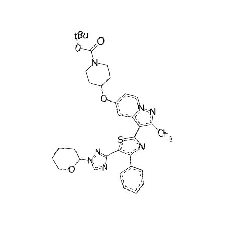 Cc1nn2ccc(OC3CCN(C(=O)OC(C)(C)C)CC3)cc2c1-c1nc(-c2ccccc2)c(-c2ncn(C3CCCCO3)n2)s1